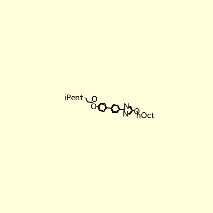 CCCCCCCCOc1cnc(-c2ccc(-c3ccc(OC(=O)CC[C@@H](C)CCC)cc3)cc2)nc1